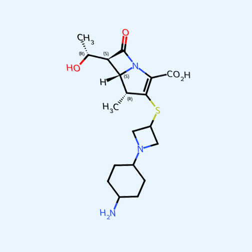 C[C@@H](O)[C@H]1C(=O)N2C(C(=O)O)=C(SC3CN(C4CCC(N)CC4)C3)[C@H](C)[C@H]12